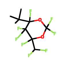 CC(C)(C)C1(F)OC(F)(F)OC(F)(C(F)F)C1(F)F